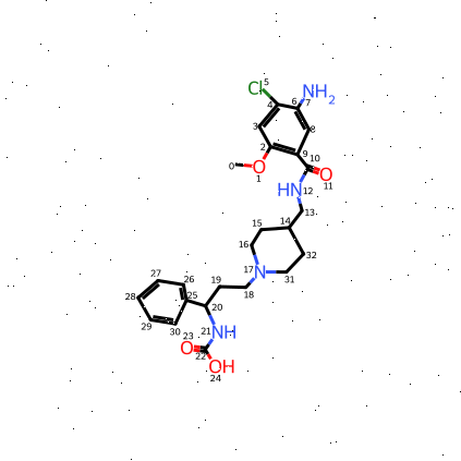 COc1cc(Cl)c(N)cc1C(=O)NCC1CCN(CCC(NC(=O)O)c2ccccc2)CC1